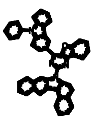 c1ccc(-n2c3ccccc3c3cc(-c4nc(-n5c6cc7ccccc7cc6c6c7ccccc7ccc65)nc5c4oc4ccccc45)ccc32)cc1